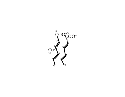 CC=CC=CC(=O)[O-].CC=CC=CC(=O)[O-].[Cu+2]